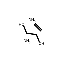 C=C.N.N.OCCO